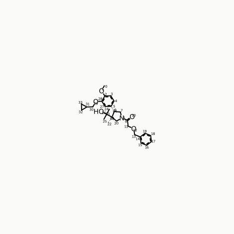 COc1ccc([C@@H]2CN(C(=O)COCc3ccccc3)C[C@@]2(C)C(C)(C)O)cc1OCC1CC1